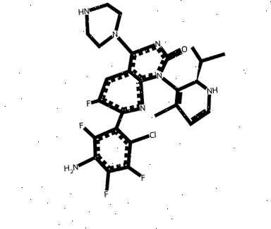 CC1=C(n2c(=O)nc(N3CCNCC3)c3cc(F)c(-c4c(F)c(N)c(F)c(F)c4Cl)nc32)[C@@H](C(C)C)NC=C1